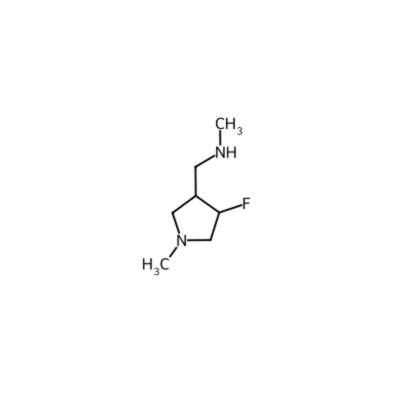 CNCC1CN(C)CC1F